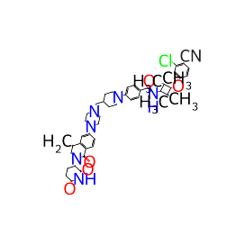 C=C1CN(C2CCC(=O)NC2=O)C(=O)c2ccc(N3CCN(CC4CCN(c5ccc(C(=O)NC6C(C)(C)C(Oc7ccc(C#N)c(Cl)c7)C6(C)C)cc5)CC4)CC3)cc21